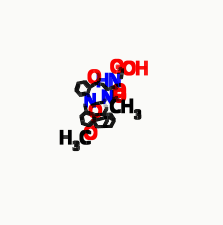 COc1ccc(CN2C(=O)[C@@H](CC34CC5CC(CC(C5)C3)C4)N(C(C)=O)[C@H](C(=O)NCC(=O)O)CC(=O)c3ccccc32)cc1